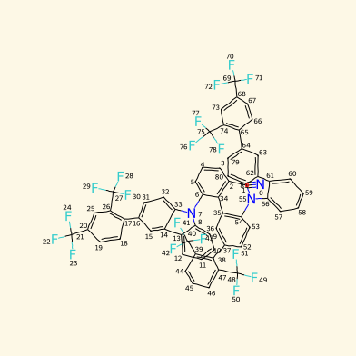 N#Cc1cccc(-n2c3ccccc3c3cc(-c4ccc(C(F)(F)F)cc4C(F)(F)F)ccc32)c1-c1cc(-c2c(C(F)(F)F)cccc2C(F)(F)F)ccc1-n1c2ccccc2c2cc(-c3ccc(C(F)(F)F)cc3C(F)(F)F)ccc21